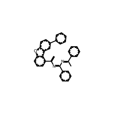 C=C(/N=C(\N=C(/C)c1ccccc1)c1ccccc1)c1cccc2oc3ccc(-c4ccccc4)cc3c12